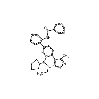 CC[C@@H]1c2nnc(C)n2-c2cnc(-c3ccncc3NC(=O)c3ccccc3)nc2N1C1CCCC1